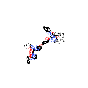 CN[C@@H](C)C(=O)N[C@@H](Cc1ccc(OCc2ccc(C(=O)N[C@H]3C[C@@H](C(=O)N[C@@H]4CCCc5ccccc54)N(C(=O)[C@@H](NC(=O)[C@H](C)NC)C(C)(C)C)C3)cc2)cc1)C(=O)N1CC=CC[C@H]1C(=O)N[C@@H]1CCCc2ccccc21